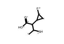 CC(S)C(C(=O)O)C1CC1F